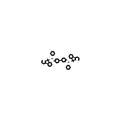 CC1(C)c2ncccc2-c2cccc(-n3c4ccc(-c5ccc6c(c5)n5c7ccccc7nc5n6-c5cccc6c5C(C)(C)c5ncccc5-6)cc4n4c5ccccc5nc34)c21